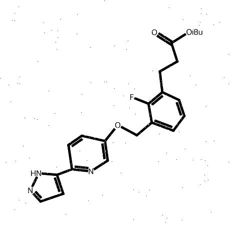 CC(C)COC(=O)CCc1cccc(COc2ccc(-c3ccn[nH]3)nc2)c1F